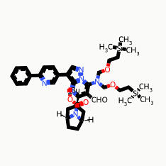 CC(C)(C)OC(=O)N1[C@@H]2CC[C@H]1C[C@@H](c1nc3c(-c4ccc(-c5ccccc5)nc4)cnn3c(N(COCC[Si](C)(C)C)COCC[Si](C)(C)C)c1C=O)C2